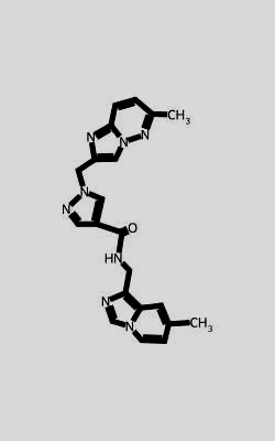 Cc1ccn2cnc(CNC(=O)c3cnn(Cc4cn5nc(C)ccc5n4)c3)c2c1